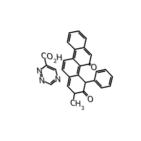 CC1C=c2ccc3c(c2C(c2ccccc2)C1=O)C(=O)C=c1ccccc1=3.O=C(O)c1cncnn1